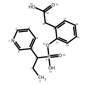 CCC(c1cccnc1)P(=O)(O)Oc1ccccc1CC(=O)O